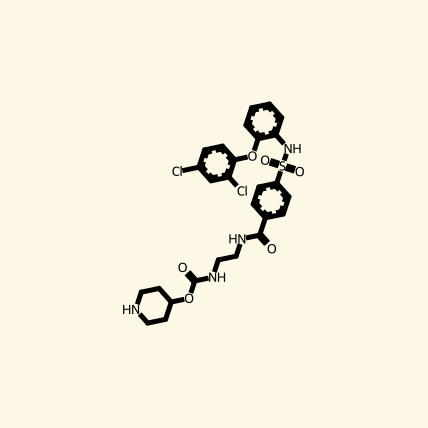 O=C(NCCNC(=O)c1ccc(S(=O)(=O)Nc2ccccc2Oc2ccc(Cl)cc2Cl)cc1)OC1CCNCC1